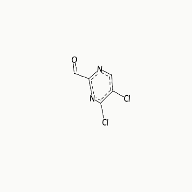 O=Cc1ncc(Cl)c(Cl)n1